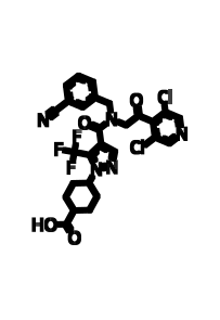 N#Cc1cccc(CN(CC(=O)c2c(Cl)cncc2Cl)C(=O)c2cnn(C3CCC(C(=O)O)CC3)c2C(F)(F)F)c1